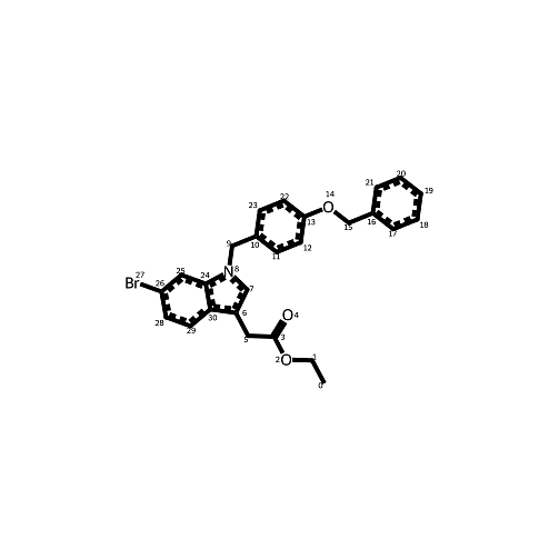 CCOC(=O)Cc1cn(Cc2ccc(OCc3ccccc3)cc2)c2cc(Br)ccc12